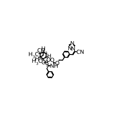 CC1(C)[C@@H]2C[C@H]3OB([C@H](Cc4ccccc4)NC(=O)OCCc4cccc(C=C(C#N)n5cncn5)c4)O[C@@]3(C)[C@H]1C2